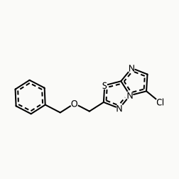 Clc1cnc2sc(COCc3ccccc3)nn12